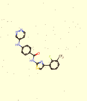 O=C(Nc1nc(-c2cccc(C(F)(F)F)c2F)cs1)c1ccc(Nc2ccnnc2)cc1